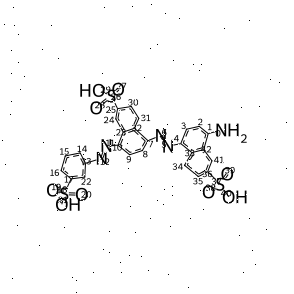 Nc1ccc(/N=N/c2ccc(/N=N/c3cccc(S(=O)(=O)O)c3)c3cc(S(=O)(=O)O)ccc23)c2ccc(S(=O)(=O)O)cc12